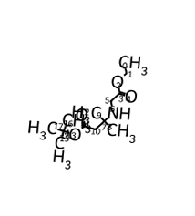 CCOC(=O)CNC(C)(C)CC(=O)OC(C)(C)C